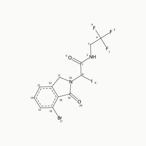 O=C(NCC(F)(F)F)C(I)N1Cc2cccc(Br)c2C1=O